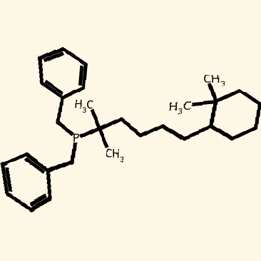 CC1(C)CCCCC1CCCCC(C)(C)P(Cc1ccccc1)Cc1ccccc1